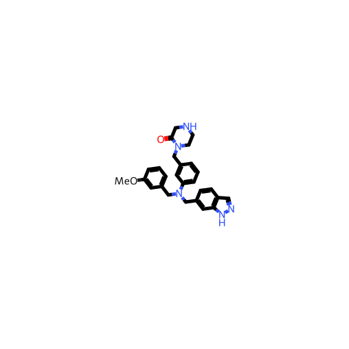 COc1cccc(CN(Cc2ccc3cn[nH]c3c2)c2cccc(CN3CCNCC3=O)c2)c1